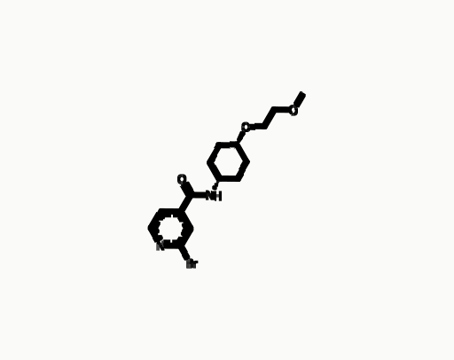 COCCO[C@H]1CC[C@H](NC(=O)c2ccnc(Br)c2)CC1